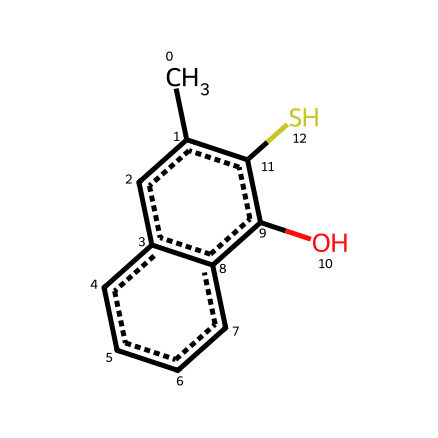 Cc1cc2ccccc2c(O)c1S